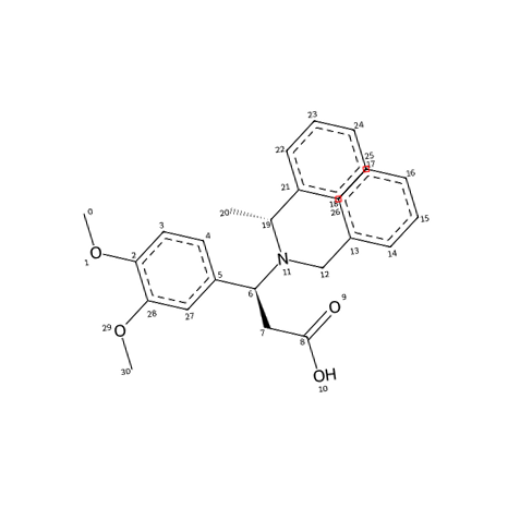 COc1ccc([C@H](CC(=O)O)N(Cc2ccccc2)[C@H](C)c2ccccc2)cc1OC